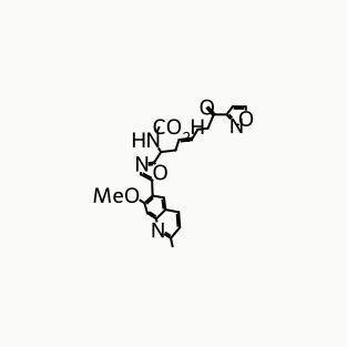 COc1cc2nc(C)ccc2cc1-c1cnc(C(C/C=C/CCC(=O)c2ccon2)NC(=O)O)o1